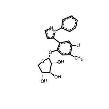 Cc1cc(O[C@H]2SC[C@@H](O)[C@H](O)[C@H]2O)c(-c2ccnn2-c2ccccc2)cc1Cl